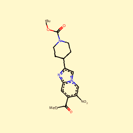 COC(=O)c1cc2nc(C3CCN(C(=O)OC(C)(C)C)CC3)cn2cc1[N+](=O)[O-]